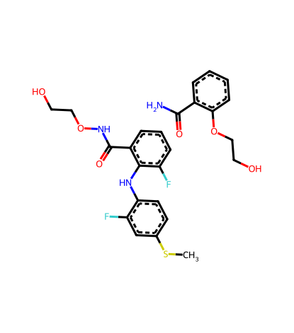 CSc1ccc(Nc2c(F)cccc2C(=O)NOCCO)c(F)c1.NC(=O)c1ccccc1OCCO